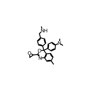 CNCc1ccc(C2(c3ccc(N(C)C)cc3)OC(C3CO3)=Nc3cc(C)ccc32)cc1